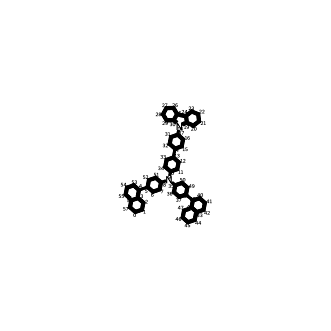 c1ccc2c(-c3ccc(N(c4ccc(-c5ccc(-n6c7ccccc7c7ccccc76)cc5)cc4)c4ccc(-c5cccc6ccccc56)cc4)cc3)cccc2c1